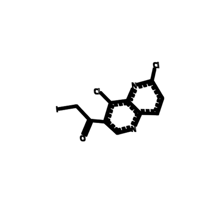 O=C(CI)c1cnc2ccc(Cl)nc2c1Cl